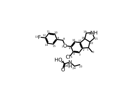 CC1c2cc(Cl)c(OCc3ccc(F)cc3)cc2C2CNCC12.CCNC(=O)O